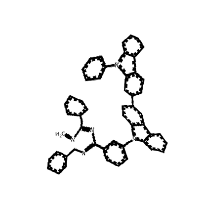 C=N/C(=N\C(=N/Cc1ccccc1)c1cccc(-n2c3ccccc3c3cc(-c4ccc5c6ccccc6n(-c6ccccc6)c5c4)ccc32)c1)c1ccccc1